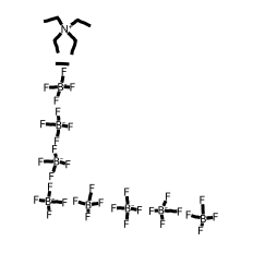 CC.CC[N+](CC)(CC)CC.F[B-](F)(F)F.F[B-](F)(F)F.F[B-](F)(F)F.F[B-](F)(F)F.F[B-](F)(F)F.F[B-](F)(F)F.F[B-](F)(F)F.F[B-](F)(F)F